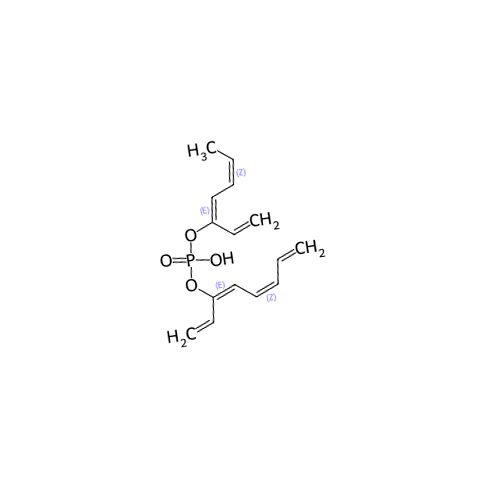 C=C/C=C\C=C(/C=C)OP(=O)(O)O/C(C=C)=C/C=C\C